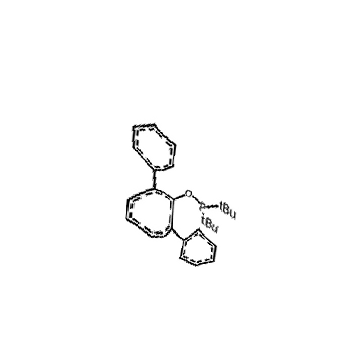 CC(C)(C)P(Oc1c(-c2ccccc2)cccc1-c1ccccc1)C(C)(C)C